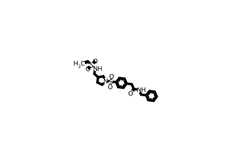 C=CS(=O)(=O)NCC1CCN(S(=O)(=O)c2ccc(CC(=O)NCc3ccccc3)cc2)C1